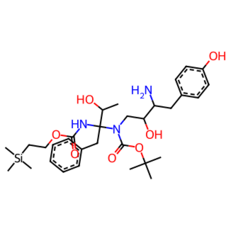 CC(O)C(Cc1ccccc1)(NC(=O)OCC[Si](C)(C)C)N(CC(O)C(N)Cc1ccc(O)cc1)C(=O)OC(C)(C)C